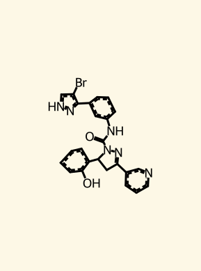 O=C(Nc1cccc(-c2n[nH]cc2Br)c1)N1N=C(c2cccnc2)CC1c1ccccc1O